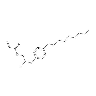 C=CC(=O)OCC(C)Oc1ccc(CCCCCCCCC)cc1